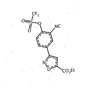 [C-]#[N+]c1cc(-c2cc(C(=O)OCC)on2)ccc1OS(=O)(=O)C(F)(F)F